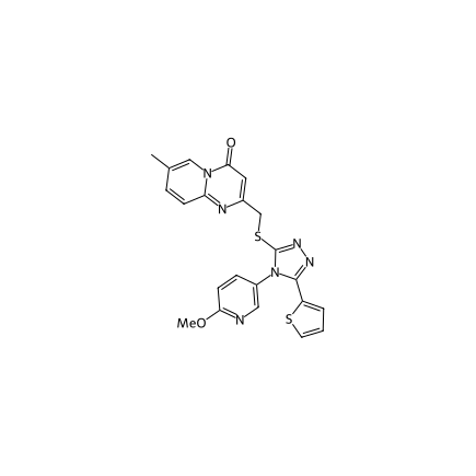 COc1ccc(-n2c(SCc3cc(=O)n4cc(C)ccc4n3)nnc2-c2cccs2)cn1